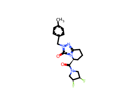 Cc1ccc(Cn2nc3n(c2=O)[C@H](C(=O)N2C[C@@H](F)[C@@H](F)C2)CCC3)cc1